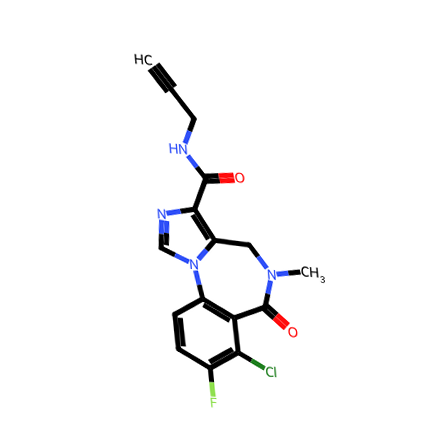 C#CCNC(=O)c1ncn2c1CN(C)C(=O)c1c-2ccc(F)c1Cl